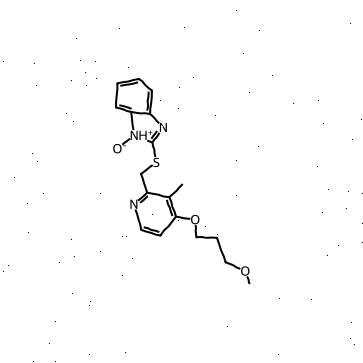 COCCCOc1ccnc(CSC2=Nc3ccccc3[NH+]2[O-])c1C